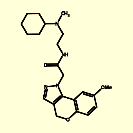 COc1ccc2c(c1)-c1c(cnn1CC(=O)NCCN(C)C1CCCCC1)CO2